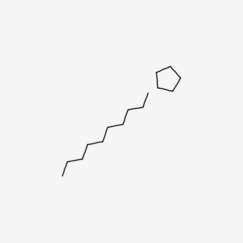 C1CCCC1.CCCCCCCCCC